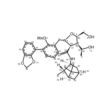 COc1c(CN2O[C@@H](CO)[C@@H]([C@H](C)O)[C@H]2C(=O)N[C@H]2C[C@H]3C[C@@H]([C@@H]2C)C3(C)C)cccc1-c1cccc2c1OCO2